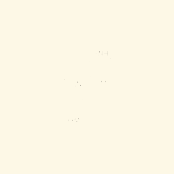 COCCn1cccc(N)c1=O